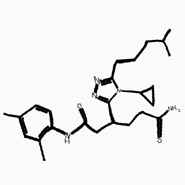 Cc1ccc(NC(=O)CC(CCC(N)=O)c2nnc(CCCC(C)C)n2C2CC2)c(C)c1